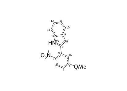 COc1ccc([N+](=O)[O-])c(-c2cc3ccccc3[nH]2)c1